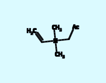 C=C[Si](C)(C)CC(C)=O